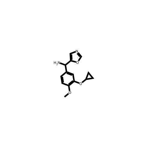 COc1ccc(C(N)c2cnco2)cc1OC1CC1